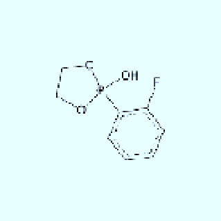 O[P]1(c2ccccc2F)OCCO1